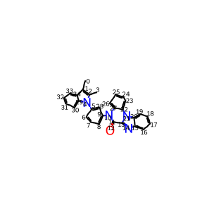 Cc1c(C)n(-c2cccc(-n3c(=O)c4nc5ccccc5n4c4ccccc43)c2)c2ccccc12